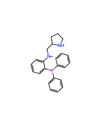 CN(CC1CCCN1)c1ccccc1P(c1ccccc1)c1ccccc1